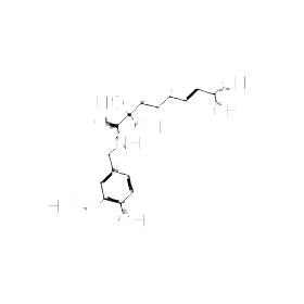 COc1cc(CNC(=O)C(O)(O)CCC/C=C/C(C)C)ccc1O